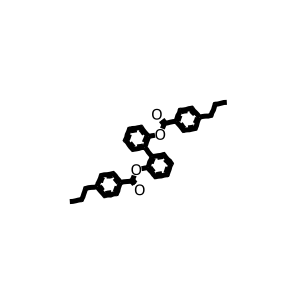 CCCc1ccc(C(=O)Oc2ccccc2-c2ccccc2OC(=O)c2ccc(CCC)cc2)cc1